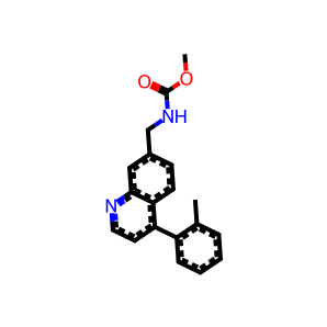 COC(=O)NCc1ccc2c(-c3ccccc3C)ccnc2c1